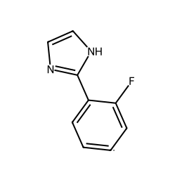 Fc1c[c]ccc1-c1ncc[nH]1